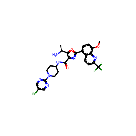 COc1ccc(-c2nc(C(=O)NC3CCN(c4ncc(Br)cn4)CC3)c([C@H](C)N)o2)c2ccc(C(F)(F)F)nc12